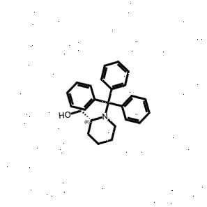 OC[C@H]1CCCCN1C(c1ccccc1)(c1ccccc1)c1ccccc1